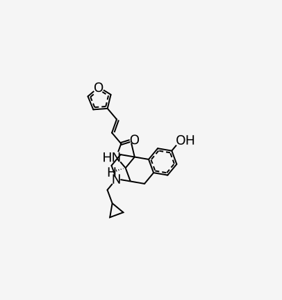 CC12CCN(CC3CC3)C(Cc3ccc(O)cc31)[C@H]2NC(=O)/C=C/c1ccoc1